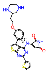 CN(C1=CC(=O)NC1=O)c1nc(-c2cccs2)nc2scc(-c3cccc(OCCC4CNCCN4)c3)c12